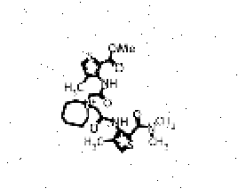 COC(=O)c1scc(C)c1NC(=O)C[N+]1(CC(=O)Nc2c(C)csc2C(=O)N(C)C)CCCCCC1